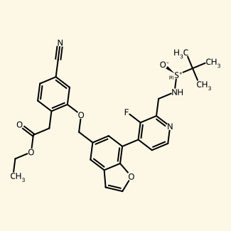 CCOC(=O)Cc1ccc(C#N)cc1OCc1cc(-c2ccnc(CN[S@@+]([O-])C(C)(C)C)c2F)c2occc2c1